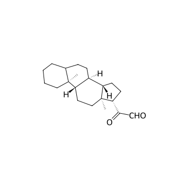 C[C@]12CC[C@H]3[C@@H](CCC4CCCC[C@@]43C)[C@@H]1CC[C@@H]2C(=O)C=O